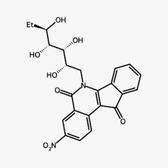 CC[C@@H](O)[C@@H](O)[C@H](O)[C@@H](O)Cn1c2c(c3ccc([N+](=O)[O-])cc3c1=O)C(=O)c1ccccc1-2